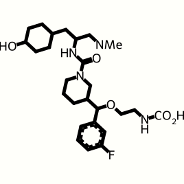 CNCC(CC1CCC(O)CC1)NC(=O)N1CCCC(C(OCCNC(=O)O)c2cccc(F)c2)C1